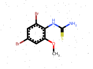 COc1cc(Br)cc(Br)c1NC(N)=S